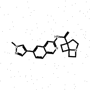 C=C(Nc1cc2cc(-c3cnn(C)c3)ccc2cn1)C12CCN3CCC31CC2